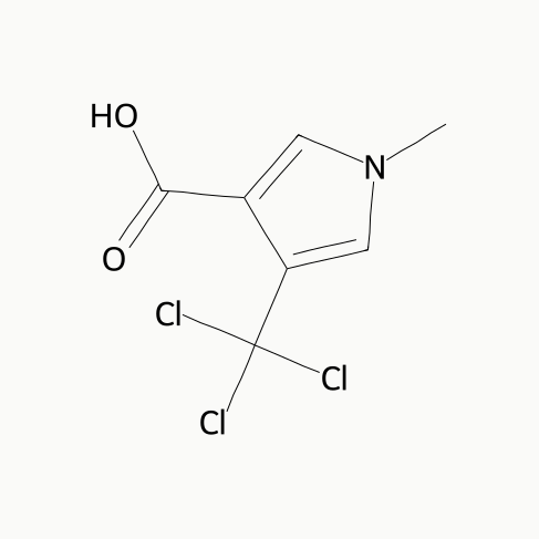 Cn1cc(C(=O)O)c(C(Cl)(Cl)Cl)c1